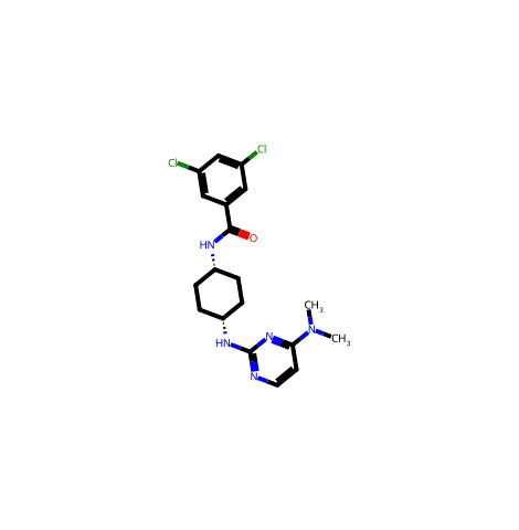 CN(C)c1ccnc(N[C@H]2CC[C@@H](NC(=O)c3cc(Cl)cc(Cl)c3)CC2)n1